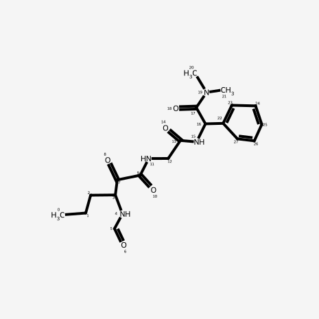 CCCC(NC=O)C(=O)C(=O)NCC(=O)NC(C(=O)N(C)C)c1ccccc1